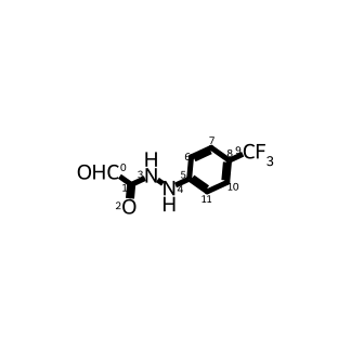 O=CC(=O)NNc1ccc(C(F)(F)F)cc1